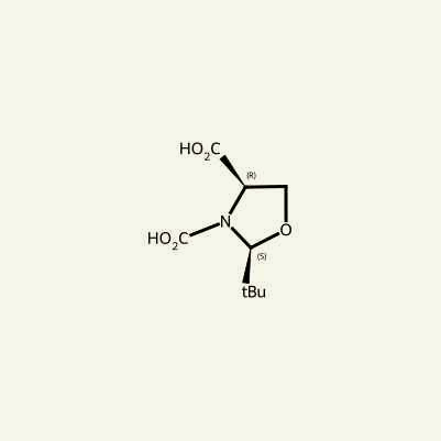 CC(C)(C)[C@@H]1OC[C@H](C(=O)O)N1C(=O)O